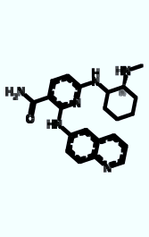 CN[C@H]1CCCCC1Nc1ccc(C(N)=O)c(Nc2ccc3ncccc3c2)n1